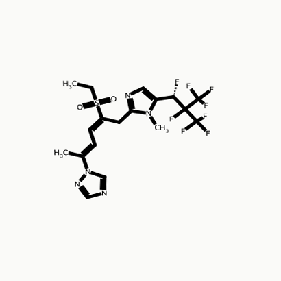 CCS(=O)(=O)/C(=C/C=C(\C)n1cncn1)Cc1ncc([C@H](F)C(F)(C(F)(F)F)C(F)(F)F)n1C